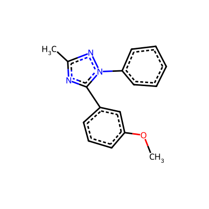 COc1cccc(-c2nc(C)nn2-c2ccccc2)c1